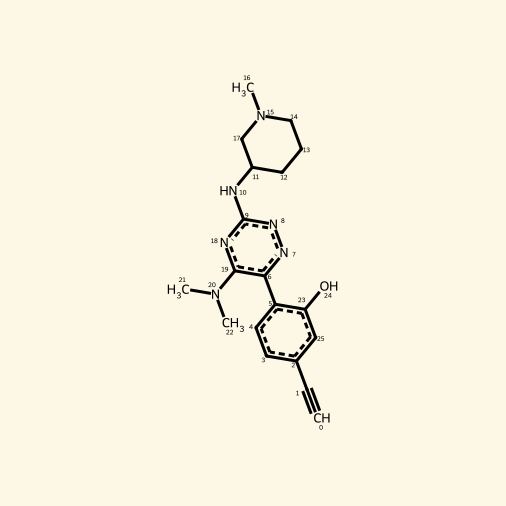 C#Cc1ccc(-c2nnc(NC3CCCN(C)C3)nc2N(C)C)c(O)c1